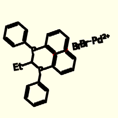 CCC(P(c1ccccc1)c1ccccc1)P(c1ccccc1)c1ccccc1.[Br-].[Br-].[Pd+2]